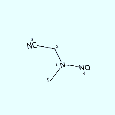 [CH2]N(CC#N)N=O